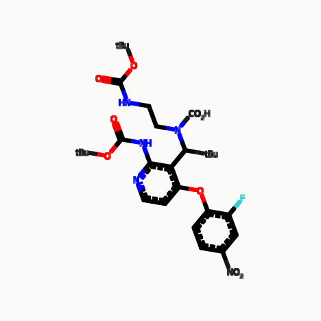 CC(C)(C)OC(=O)NCCN(C(=O)O)C(c1c(Oc2ccc([N+](=O)[O-])cc2F)ccnc1NC(=O)OC(C)(C)C)C(C)(C)C